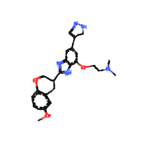 COc1ccc2c(c1)CC(c1nc3cc(C4C=NNC4)cc(OCCN(C)C)c3[nH]1)CO2